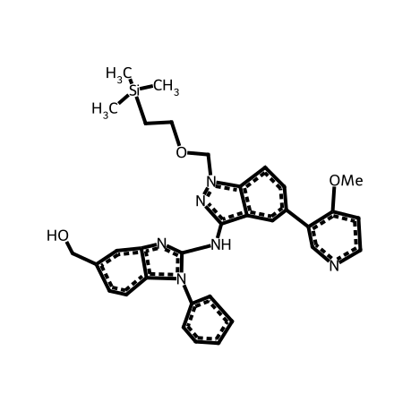 COc1ccncc1-c1ccc2c(c1)c(Nc1nc3cc(CO)ccc3n1-c1ccccc1)nn2COCC[Si](C)(C)C